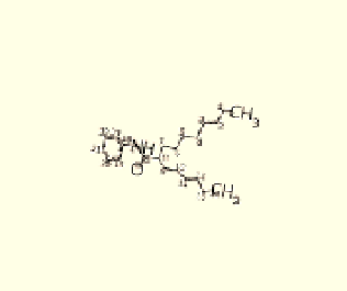 CCCCCCCCC(CCCCCC)C(=O)Nc1cc[c]cc1